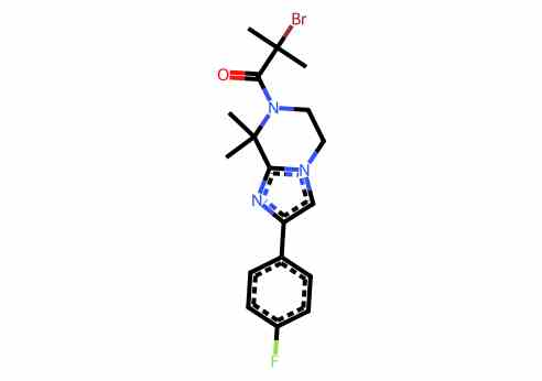 CC(C)(Br)C(=O)N1CCn2cc(-c3ccc(F)cc3)nc2C1(C)C